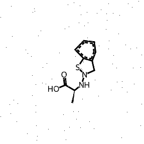 C[C@H](NN1Cc2ccccc2S1)C(=O)O